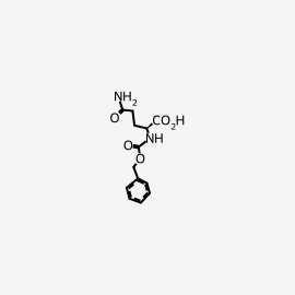 NC(=O)CC[C@H](NC(=O)OCc1ccccc1)C(=O)O